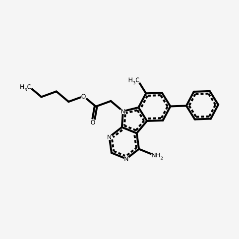 CCCCOC(=O)Cn1c2ncnc(N)c2c2cc(-c3ccccc3)cc(C)c21